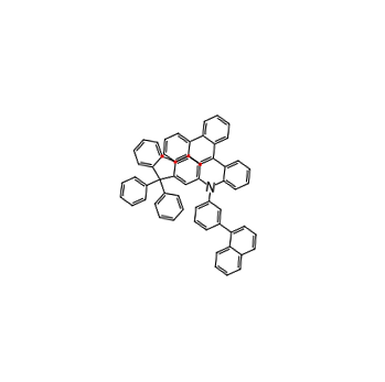 c1ccc(C2(c3ccccc3)c3ccccc3-c3ccc(N(c4cccc(-c5cccc6ccccc56)c4)c4ccccc4-c4cc5ccccc5c5ccccc45)cc32)cc1